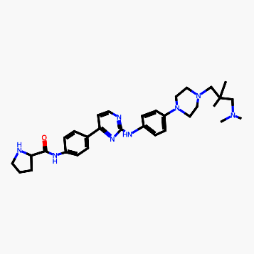 CN(C)CC(C)(C)CN1CCN(c2ccc(Nc3nccc(-c4ccc(NC(=O)C5CCCN5)cc4)n3)cc2)CC1